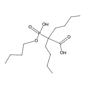 CCCCOP(=O)(O)C(CCCC)(CCCC)C(=O)O